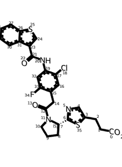 O=C(O)CCc1cnc([C@@H]2CCCN2C(=O)Cc2cc(Cl)c(NC(=O)c3csc4ccccc34)cc2F)s1